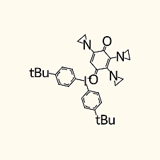 CC(C)(C)c1ccc([I+]c2ccc(C(C)(C)C)cc2)cc1.O=C1C=C(N2CC2)C(=O)C(N2CC2)=C1N1CC1